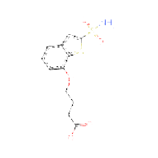 NS(=O)(=O)c1cc2cccc(OCCCC(=O)O)c2s1